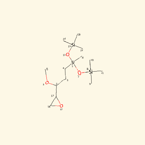 COC(CC[Si](C)(O[Si](C)(C)C)O[Si](C)(C)C)C1CO1